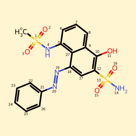 CS(=O)(=O)Nc1cccc2c(O)c(S(N)(=O)=O)cc(N=Nc3ccccc3)c12